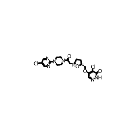 O=C(C[C@H]1CC[C@@H](COc2cn[nH]c(=O)c2Cl)O1)N1CCN(c2ncc(Cl)cn2)CC1